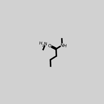 CCCC(=O)NC.CN